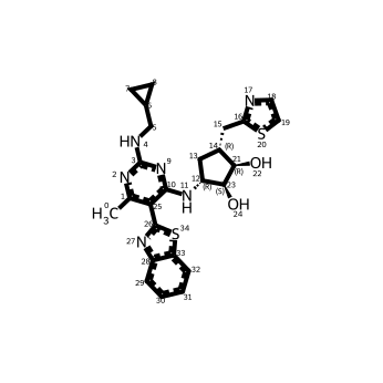 Cc1nc(NCC2CC2)nc(N[C@@H]2C[C@H](Cc3nccs3)[C@@H](O)[C@H]2O)c1-c1nc2ccccc2s1